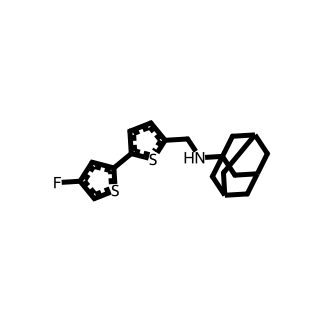 Fc1csc(-c2ccc(CNC34CC5CC(CC(C5)C3)C4)s2)c1